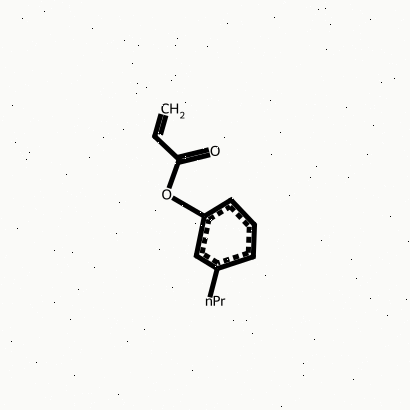 C=CC(=O)Oc1cccc(CCC)c1